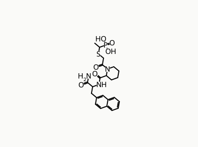 CC(SCC(=O)N1CCCCC1C(=O)NC(Cc1ccc2ccccc2c1)C(N)=O)P(=O)(O)O